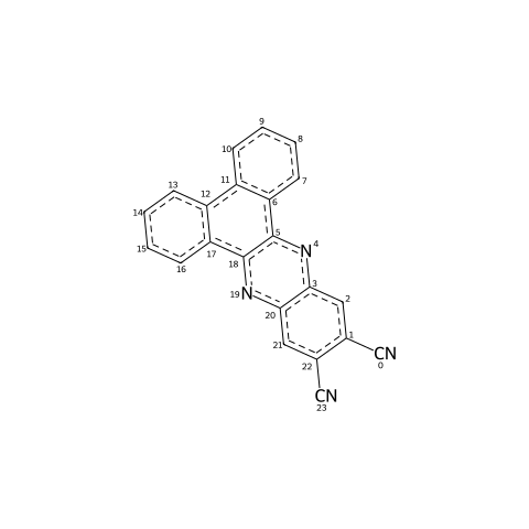 N#Cc1cc2nc3c4ccccc4c4ccccc4c3nc2cc1C#N